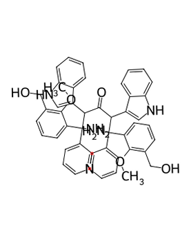 COc1c(CO)cccc1C(N)(c1cccnc1)C(C(=O)C(c1c[nH]c2ccccc12)C(N)(c1cccnc1)c1cccc(CO)c1OC)c1c[nH]c2ccccc12